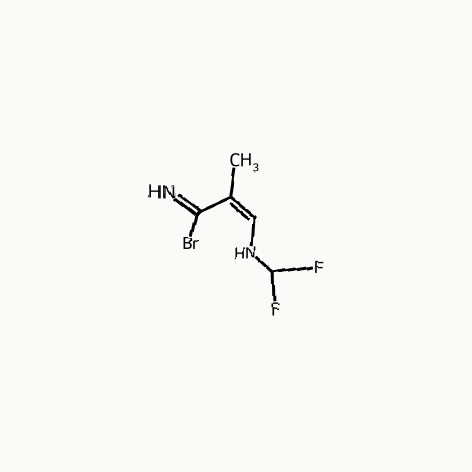 C/C(=C/NC(F)F)C(=N)Br